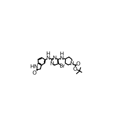 CC(C)(C)OC(=O)N1CCC(Nc2nc(Nc3ccc4c(c3)CC(=O)N4)ncc2Br)CC1